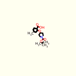 Cc1ccc(C(=O)O)c(OC2CCN(C(=O)OC(C)(C)C)CC2)c1